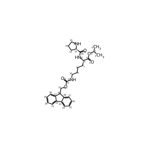 CC(C)OC(=O)[C@@H](CCCCNC(=O)OCC1c2ccccc2-c2ccccc21)NC(=O)[C@H]1CCCN1